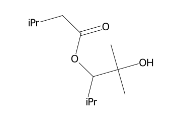 CC(C)CC(=O)OC(C(C)C)C(C)(C)O